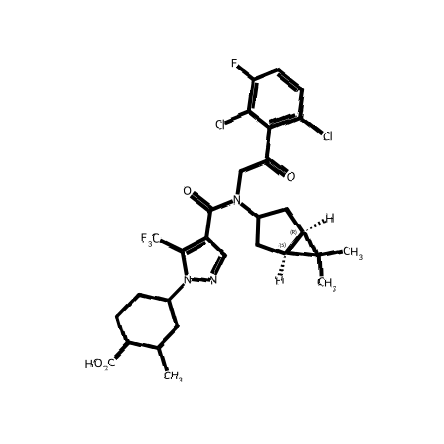 CC1CC(n2ncc(C(=O)N(CC(=O)c3c(Cl)ccc(F)c3Cl)C3C[C@@H]4[C@H](C3)C4(C)C)c2C(F)(F)F)CCC1C(=O)O